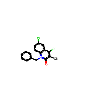 N#Cc1c(Cl)c2cc(Cl)ccc2n(Cc2ccccc2)c1=O